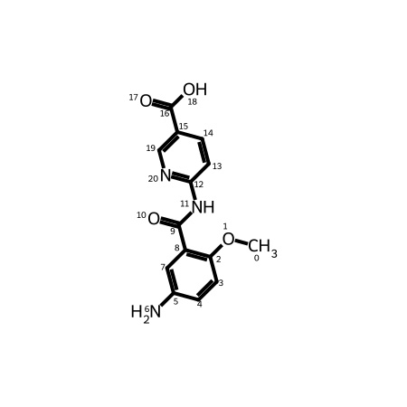 COc1ccc(N)cc1C(=O)Nc1ccc(C(=O)O)cn1